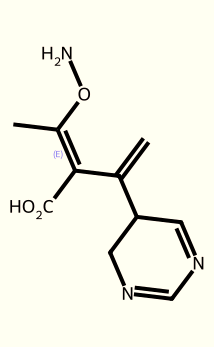 C=C(/C(C(=O)O)=C(/C)ON)C1C=NC=NC1